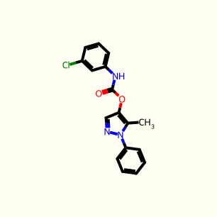 Cc1c(OC(=O)Nc2cccc(Cl)c2)cnn1-c1ccccc1